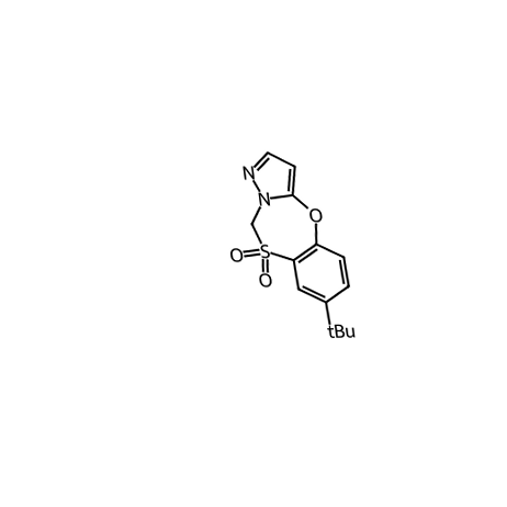 CC(C)(C)c1ccc2c(c1)S(=O)(=O)Cn1nccc1O2